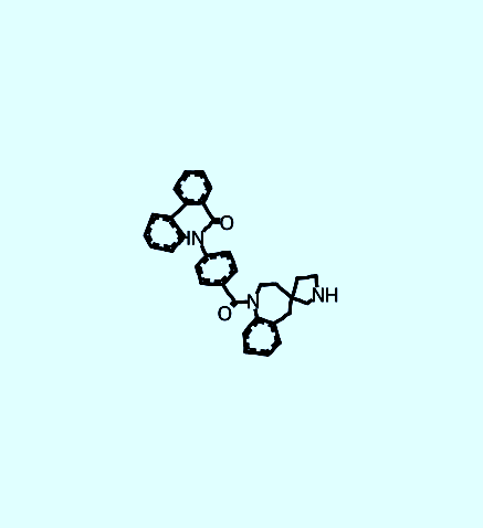 O=C(Nc1ccc(C(=O)N2CCC3(CCNC3)Cc3ccccc32)cc1)c1ccccc1-c1ccccc1